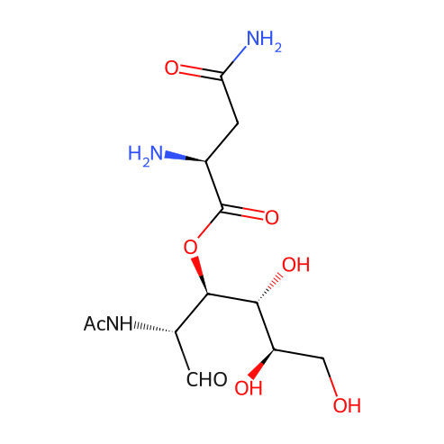 CC(=O)N[C@@H](C=O)[C@@H](OC(=O)[C@@H](N)CC(N)=O)[C@H](O)[C@H](O)CO